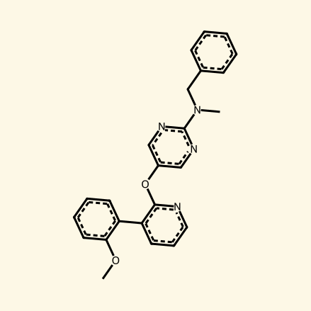 COc1ccccc1-c1cccnc1Oc1cnc(N(C)Cc2ccccc2)nc1